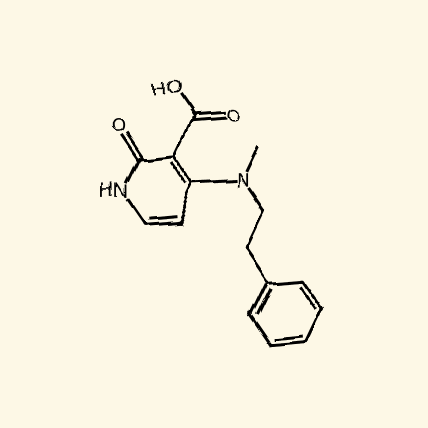 CN(CCc1ccccc1)c1cc[nH]c(=O)c1C(=O)O